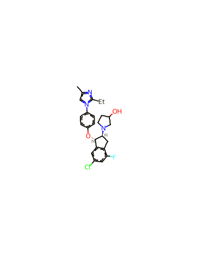 CCc1nc(C)cn1-c1ccc(O[C@H]2c3cc(Cl)cc(F)c3C[C@@H]2N2CCC(O)C2)cc1